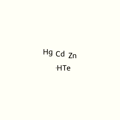 [Cd].[Hg].[TeH].[Zn]